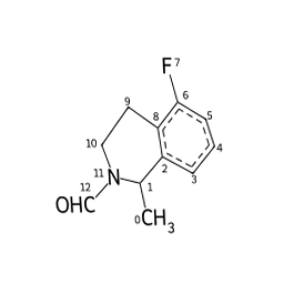 CC1c2cccc(F)c2CCN1C=O